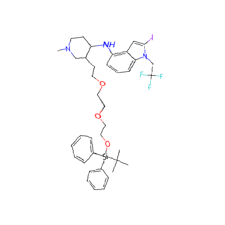 CN1CCC(Nc2cccc3c2cc(I)n3CC(F)(F)F)C(CCOCCOCCO[Si](c2ccccc2)(c2ccccc2)C(C)(C)C)C1